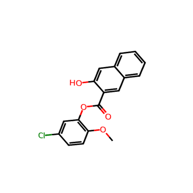 COc1ccc(Cl)cc1OC(=O)c1cc2ccccc2cc1O